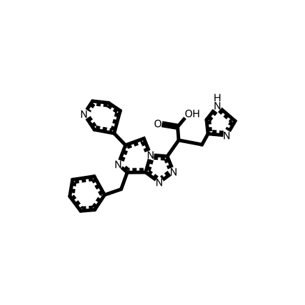 O=C(O)C(Cc1c[nH]cn1)c1nnc2c(Cc3ccccc3)nc(-c3cccnc3)cn12